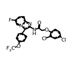 O=C(COc1ccc(Cl)cc1Cl)Nc1nc2ccc(F)cn2c1-c1ccc(OC(F)(F)F)cc1